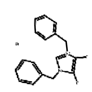 Clc1c(Cl)[n+](Cc2ccccc2)cn1Cc1ccccc1.[Br-]